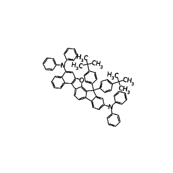 CC(C)(C)c1ccc(C2(c3ccc(C(C)(C)C)cc3)c3cc(N(c4ccccc4)c4ccccc4)ccc3-c3ccc4c(oc5cc(N(c6ccccc6)c6ccccc6)c6ccccc6c54)c32)cc1